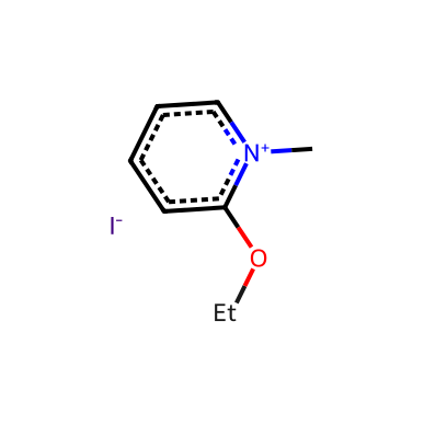 CCOc1cccc[n+]1C.[I-]